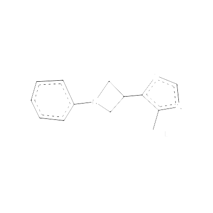 CCOC(=O)c1ncsc1C1CN(c2ccccc2)C1